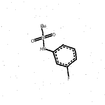 CCC(C)S(=O)(=O)Nc1cccc(F)c1